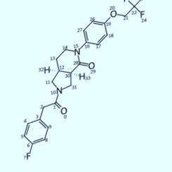 O=C(Cc1ccc(F)cc1)N1C[C@H]2CCN(c3ccc(OCC(F)(F)F)cc3)C(=O)[C@H]2C1